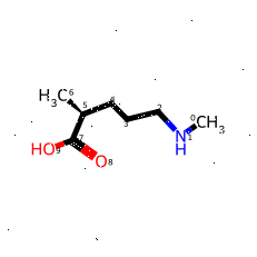 CNCCC[C@H](C)C(=O)O